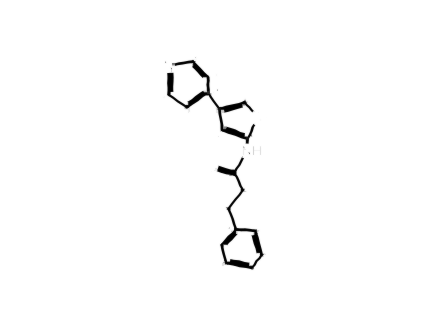 O=C(CCc1ccccc1)Nc1cc(-c2ccncc2)cs1